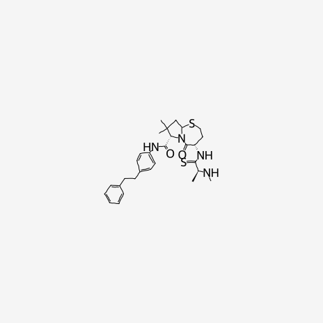 CN[C@@H](C)C(=S)N[C@H]1CCSC2CC(C)(C)[C@@H](C(=O)Nc3ccc(CCc4ccccc4)cc3)N2C1=O